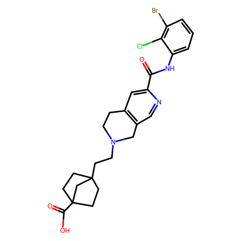 O=C(Nc1cccc(Br)c1Cl)c1cc2c(cn1)CN(CCC13CCC(C(=O)O)(CC1)C3)CC2